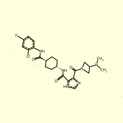 CN(C)C1CN(C(=O)c2nc[nH]c2C(=O)N[C@H]2CC[C@H](C(=O)Nc3ccc(F)cc3Cl)CC2)C1